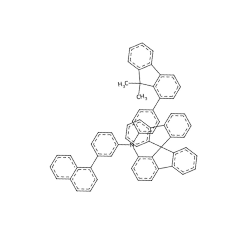 CC1(C)c2ccccc2-c2cccc(-c3ccc(N(c4cccc(-c5cccc6ccccc56)c4)c4cccc5c4C4(c6ccccc6-c6ccccc64)c4ccccc4-5)cc3)c21